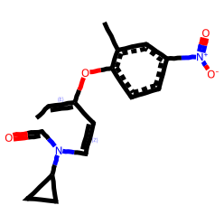 C/C=C(\C=C/N(C=O)C1CC1)Oc1ccc([N+](=O)[O-])cc1C